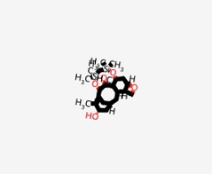 CC1=C2C[C@@H](C[C@@H]1O)C[C@H]1[C@H]3CO[C@H]3CC3O[Si](C)(C)C[Si](C)(C)OC2C(=O)[C@]31C